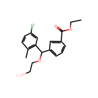 BCCOC(c1cccc(C(=O)OCC)c1)c1cc(Cl)ccc1C